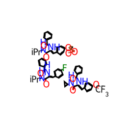 CC(C)NC(=O)C(=Cc1ccc(F)cc1)NC(=O)c1ccccc1.CC(C)NC(=O)C(=Cc1ccc(OS(C)(=O)=O)cc1)NC(=O)c1ccccc1.O=C(NC1CC1)C(=Cc1ccc(OC(F)(F)F)cc1)NC(=O)c1ccccc1